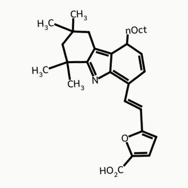 CCCCCCCCC1C=CC(/C=C/c2ccc(C(=O)O)o2)=C2N=C3C(=C21)CC(C)(C)CC3(C)C